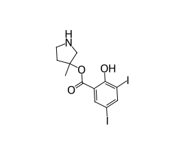 CC1(OC(=O)c2cc(I)cc(I)c2O)CCNC1